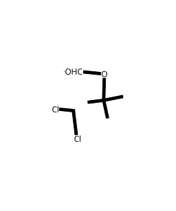 CC(C)(C)O[C]=O.ClCCl